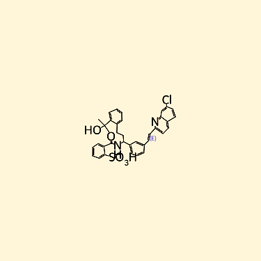 CC(C)(O)c1ccccc1CCC(NC(=O)c1ccccc1S(=O)(=O)O)c1cccc(/C=C/c2ccc3ccc(Cl)cc3n2)c1